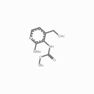 CNc1nccc(COC(C)=O)c1NC(=O)OC(C)(C)C